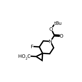 CC(C)(C)OC(=O)N1CCC2(CC2C(=O)O)C(F)C1